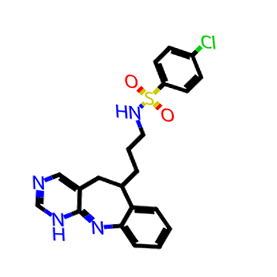 O=S(=O)(NCCCC1CC2=CN=CNC2=Nc2ccccc21)c1ccc(Cl)cc1